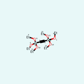 CCO[Si](C#C[Si](OCC)(OCC)OCC)(OCC)OCC